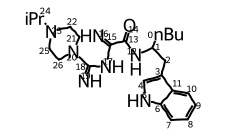 CCCCC(Cc1c[nH]c2ccccc12)NC(=O)C(=N)NC(=N)N1CCN(C(C)C)CC1